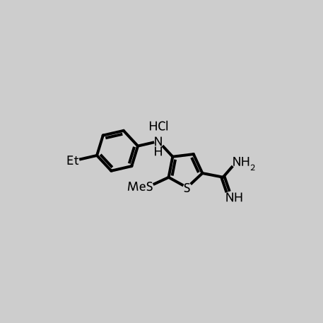 CCc1ccc(Nc2cc(C(=N)N)sc2SC)cc1.Cl